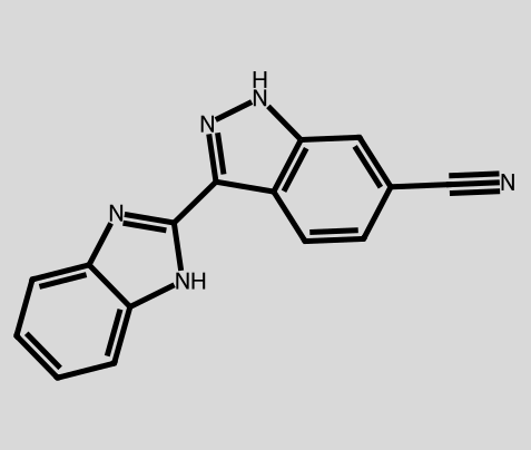 N#Cc1ccc2c(-c3nc4ccccc4[nH]3)n[nH]c2c1